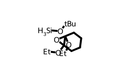 CC(C)(C)O[SiH3].CCOC12CCCCC1(OCC)O2